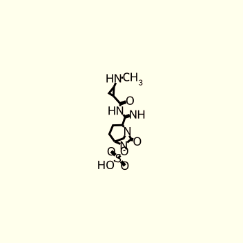 CNC1CC1C(=O)NC(=N)C1CCC2CN1C(=O)N2OS(=O)(=O)O